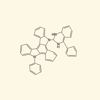 C1=CC2=C(c3ccccc3)NC(n3c4ccccc4c4c5c6ccccc6n(-c6ccccc6)c5c5ccccc5c43)NC2C=C1